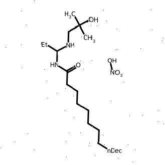 CCCCCCCCCCCCCCCCCC(=O)NC(CC)NCC(C)(C)O.O=[N+]([O-])O